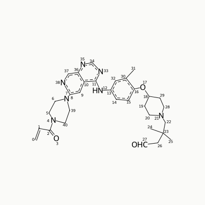 C=CC(=O)N1CCN(c2cc3c(Nc4ccc(OC5CCN(CC(C)(C)CC=O)CC5)c(C)c4)ncnc3cn2)CC1